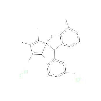 CC1=C(C)[C]([Ti+3])(C(c2cccc(C)c2)c2cccc(C)c2)C(C)=C1C.[Cl-].[Cl-].[Cl-]